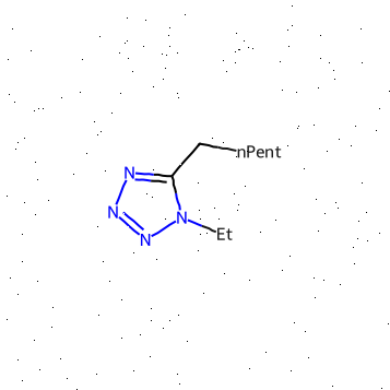 CCCCCCc1nnnn1CC